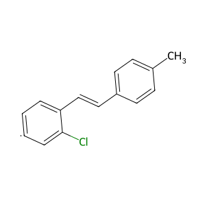 Cc1ccc(C=Cc2cc[c]cc2Cl)cc1